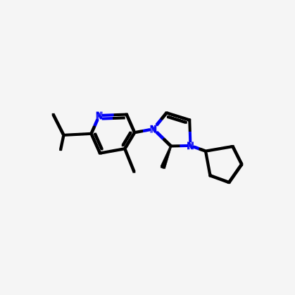 Cc1cc(C(C)C)ncc1N1C=CN(C2CCCC2)[C@H]1C